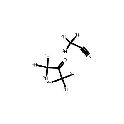 [2H]C([2H])([2H])C#N.[2H]C([2H])([2H])C(=O)C([2H])([2H])[2H]